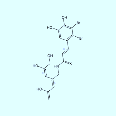 C=C(O)/C=C(\C=C(\O)CO)CNC(=S)/C=C/c1cc(O)c(O)c(Br)c1Br